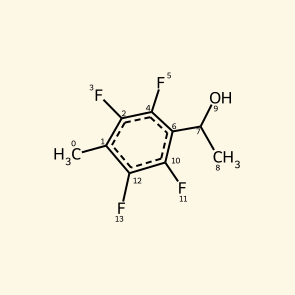 Cc1c(F)c(F)c(C(C)O)c(F)c1F